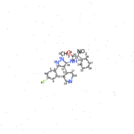 Cn1nc(-c2ccc(F)cc2)c(-c2ccncc2)c1NC(=O)C(c1ccccc1)[N+](=O)[O-]